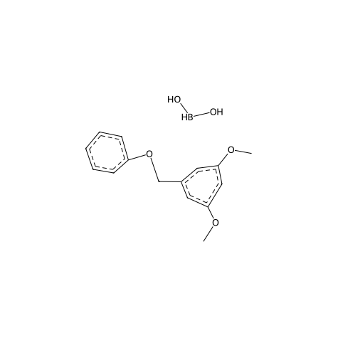 COc1cc(COc2ccccc2)cc(OC)c1.OBO